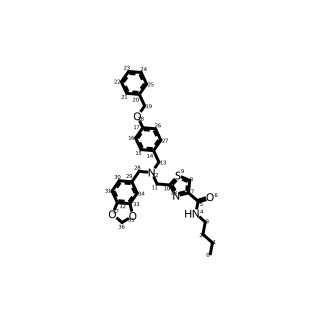 CCCCNC(=O)c1csc(CN(Cc2ccc(OCc3ccccc3)cc2)Cc2ccc3c(c2)OCO3)n1